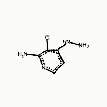 NNc1ccnc(N)c1Cl